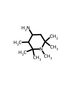 CC1C(N)CC(C)(C)N(C)C1(C)C